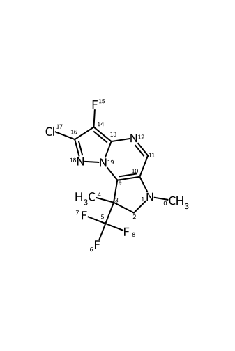 CN1CC(C)(C(F)(F)F)c2c1cnc1c(F)c(Cl)nn21